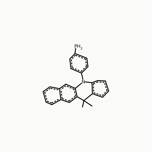 CC1(C)c2ccccc2N(c2ccc(P)cc2)c2cc3ccccc3cc21